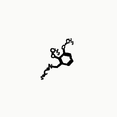 COc1cccc(CN=C=S)c1OC